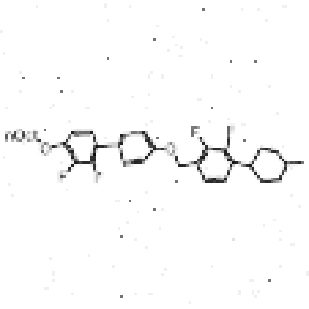 CCCCCCCCOc1ccc(-c2ccc(OCc3ccc(C4CCC(C)CC4)c(F)c3F)cc2)c(F)c1F